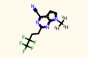 [2H]C([2H])([2H])n1ccc2c(C#N)nc(CCC(F)(F)C(F)(F)F)nc21